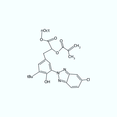 C=C(C)C(=O)OC(Cc1cc(-n2nc3ccc(Cl)cc3n2)c(O)c(C(C)(C)C)c1)C(=O)OCCCCCCCC